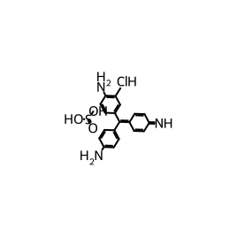 Cc1cc(C(=C2C=CC(=N)C=C2)c2ccc(N)cc2)ccc1N.Cl.O=S(O)O